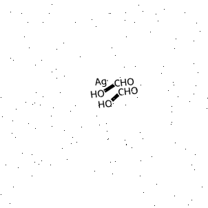 O=CO.O=CO.[Ag]